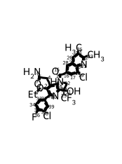 CCOc1c(CC(N)=O)cc([C@@](O)(CNC(=O)c2cc(Cl)c3nc(C)c(C)cc3c2)C(F)(F)F)nc1-c1ccc(F)c(Cl)c1